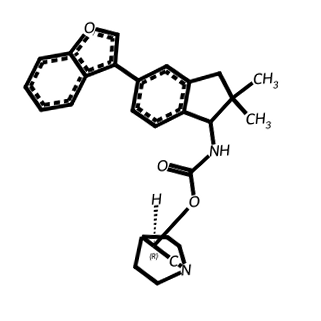 CC1(C)Cc2cc(-c3coc4ccccc34)ccc2C1NC(=O)O[C@H]1CN2CCC1CC2